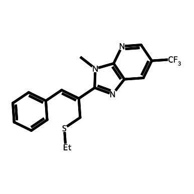 CCSC/C(=C\c1ccccc1)c1nc2cc(C(F)(F)F)cnc2n1C